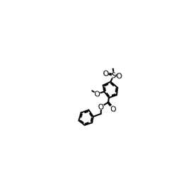 COc1cc(S(C)(=O)=O)ccc1C(=O)OCc1ccccc1